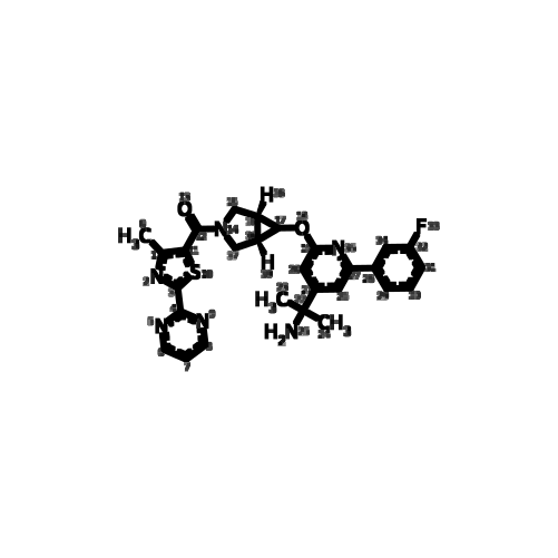 Cc1nc(-c2ncccn2)sc1C(=O)N1C[C@@H]2C(Oc3cc(C(C)(C)N)cc(-c4cccc(F)c4)n3)[C@@H]2C1